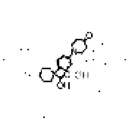 Cl.O=C1CCN(c2ccc(C3(C(=O)O)CCCCC3)cc2)CC1